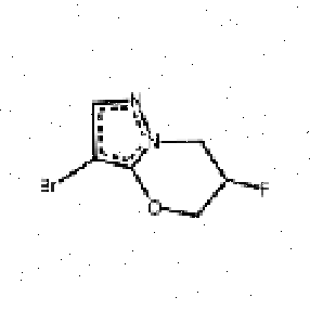 FC1COc2c(Br)cnn2C1